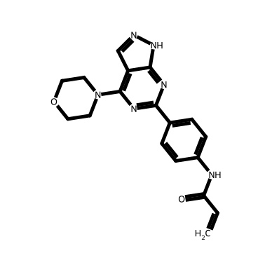 C=CC(=O)Nc1ccc(-c2nc(N3CCOCC3)c3cn[nH]c3n2)cc1